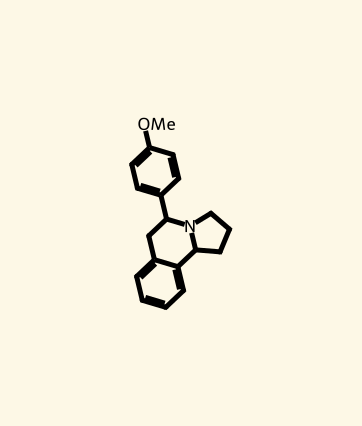 COc1ccc(C2Cc3ccccc3C3CCCN23)cc1